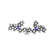 CCC1(CC)c2ccccc2-c2ccc(N(c3cccc(C4=CC=C5c6ccc(-c7cccc(N(c8ccc9c(c8)C(CC)(CC)c8ccccc8-9)c8ccc9ccccc9c8)c7)cc6C(C)(C)C5C4)c3)c3ccc4ccccc4c3)cc21